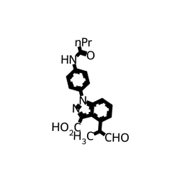 CCCC(=O)Nc1ccc(-n2nc(C(=O)O)c3c(C(C)C=O)cccc32)cc1